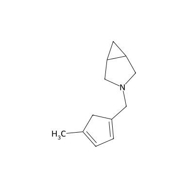 CC1=CC=C(CN2CC3CC3C2)C1